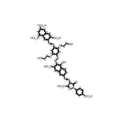 O=C(O)C1=NN(c2ccc(S(=O)(=O)O)cc2)C(=O)C1/N=N/c1ccc2c(O)c(/N=N/c3cc(OCCO)c(/N=N/c4cc5c(S(=O)(=O)O)cc(S(=O)(=O)O)cc5cc4S(=O)(=O)O)cc3OCCO)c(S(=O)(=O)O)cc2c1